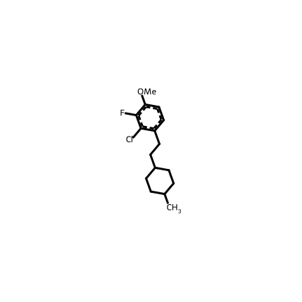 COc1ccc(CCC2CCC(C)CC2)c(Cl)c1F